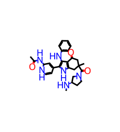 CN[C@@H]1CCN(C(=O)C2(C)CC(=O)c3c([nH]c(C4=CC(NC(C)=O)NC=C4)c3Nc3ccccc3)C2)C1